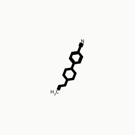 C=CCC1CCC(c2ccc(C#N)cc2)CC1